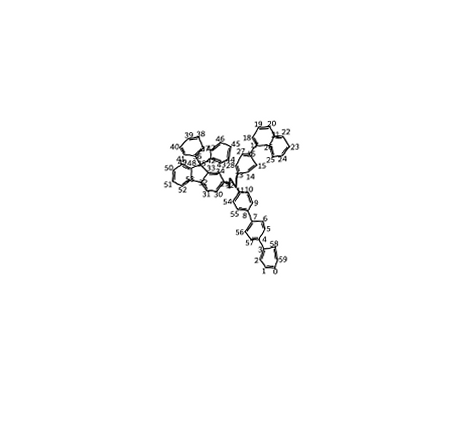 c1ccc(-c2ccc(-c3ccc(N(c4ccc(-c5cccc6ccccc56)cc4)c4ccc5c(c4)C(c4ccccc4)(c4ccccc4)c4ccccc4-5)cc3)cc2)cc1